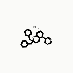 N.c1ccc(CC2(Cc3ccccc3)CCc3c(cccc3-c3cncnc3)O2)cc1